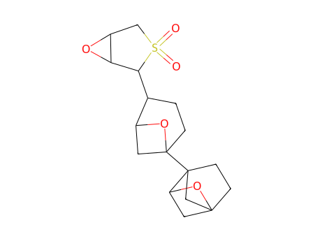 O=S1(=O)CC2OC2C1C1CCC2(C34CCC5(CC3O5)C4)CC1O2